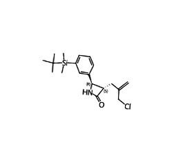 C=C(CCl)C[C@@H]1C(=O)N[C@H]1c1cccc([Si](C)(C)C(C)(C)C)c1